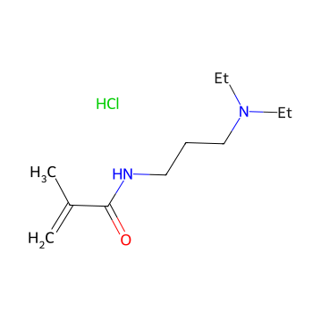 C=C(C)C(=O)NCCCN(CC)CC.Cl